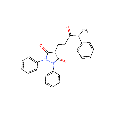 CC(C(=O)CCC1C(=O)N(c2ccccc2)N(c2ccccc2)C1=O)c1ccccc1